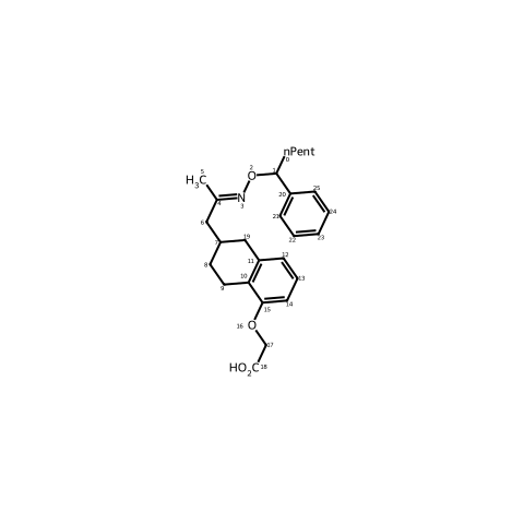 CCCCCC(ON=C(C)CC1CCc2c(cccc2OCC(=O)O)C1)c1ccccc1